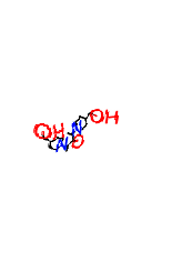 CC(C(=O)C(C)N1CCC(CO)CC1)N1CCC(CO)CC1